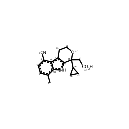 Cc1ccc(C#N)c2c3c([nH]c12)C(CC(=O)O)(C1CC1)OCC3